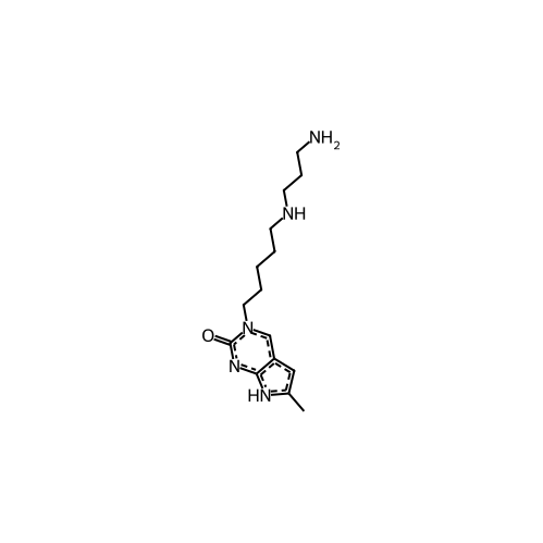 Cc1cc2cn(CCCCCNCCCN)c(=O)nc2[nH]1